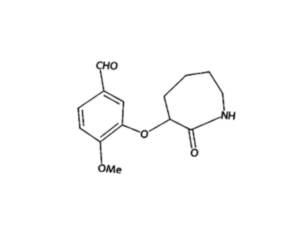 COc1ccc(C=O)cc1OC1CCCCNC1=O